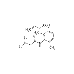 C=CCC(=O)O.CCN(CC)CC(=O)Nc1c(C)cccc1C